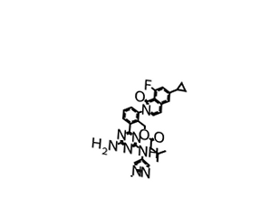 CC(C)CC(=O)OCc1c(-c2nc(N)nc(Nc3cnn(C)c3)n2)cccc1-n1ccc2cc(C3CC3)cc(F)c2c1=O